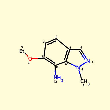 CCOc1ccc2cnn(C)c2c1N